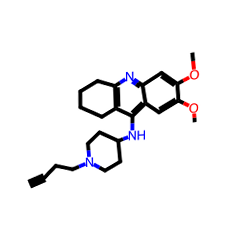 C#CCCN1CCC(Nc2c3c(nc4cc(OC)c(OC)cc24)CCCC3)CC1